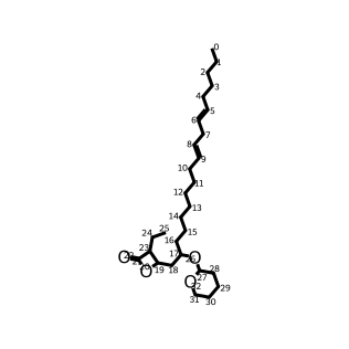 CCCCCC=CCC=CCCCCCCCC(CC1OC(=O)C1CC)OC1CCCCO1